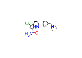 CCN(CC)Cc1ccc(-c2ccc3c(Cl)cc(C(N)=O)n3n2)cc1